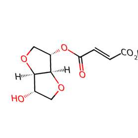 O=C(O)C=CC(=O)O[C@H]1CO[C@H]2[C@@H]1OC[C@@H]2O